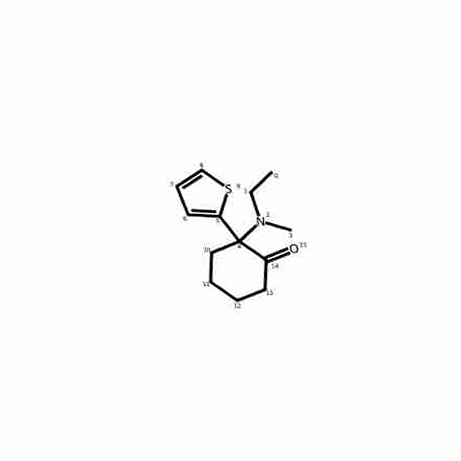 CCN(C)C1(c2cccs2)CCCCC1=O